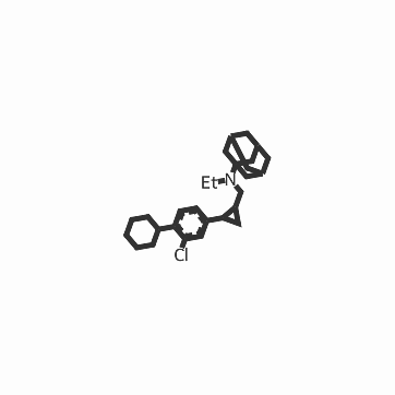 CCN(CC1CC1c1ccc(C2CCCCC2)c(Cl)c1)C12CC3CC(CC(C3)C1)C2